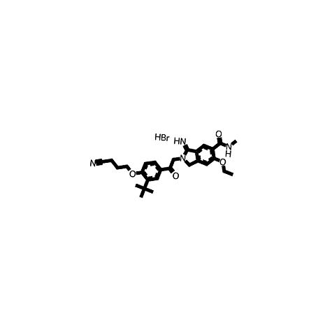 Br.CCOc1cc2c(cc1C(=O)NC)C(=N)N(CC(=O)c1ccc(OCCCC#N)c(C(C)(C)C)c1)C2